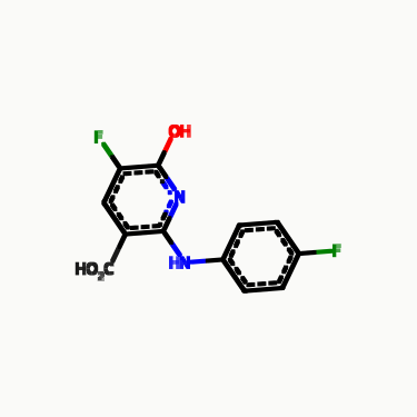 O=C(O)c1cc(F)c(O)nc1Nc1ccc(F)cc1